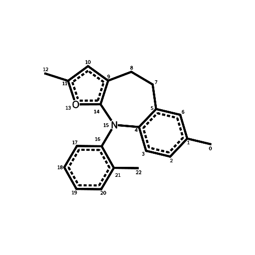 Cc1ccc2c(c1)CCc1cc(C)oc1N2c1ccccc1C